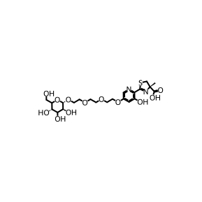 C[C@]1(C(=O)O)CSC(c2ncc(OCCOCCOCCO[C@H]3OC(CO)[C@@H](O)C(O)[C@@H]3O)cc2O)=N1